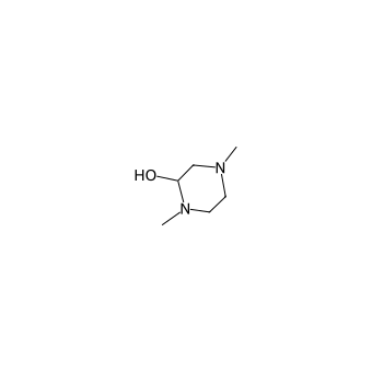 CN1CCN(C)C(O)C1